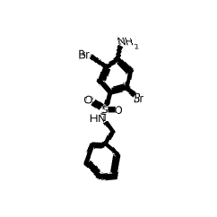 Nc1cc(Br)c(S(=O)(=O)NCc2ccccc2)cc1Br